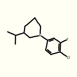 CC(C)C1CCCN(c2ccc(Cl)c(F)c2)C1